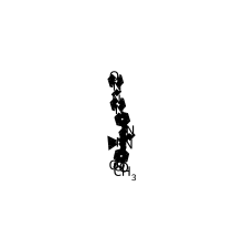 CS(=O)(=O)c1ccc(-c2nc3cnc(-c4ccc(N5CCN(CCN6CCOCC6)CC5)cc4)cc3n2C2CC2)cc1